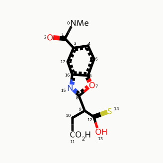 CNC(=O)c1ccc2oc(C(CC(=O)O)C(O)=S)nc2c1